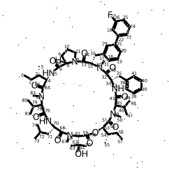 CC[C@H](C)[C@@H]1NC(=O)[C@@H]2CCCN2C(=O)[C@H](Cc2cccc(-c3cccc(F)c3)c2)N(C)C(=O)[C@H](Cc2ccccc2)NC(=O)C(C(C)C)N(C)C(=O)[C@@H]([C@@H](C)CC)OC(=O)[C@H](C(C)(C)O)N(C)C(=O)[C@H](CC(C)C)NC(=O)C(C(C)C)N(C)C1=O